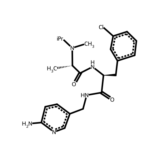 CC(C)N(C)[C@@H](C)C(=O)N[C@@H](Cc1cccc(Cl)c1)C(=O)NCc1ccc(N)nc1